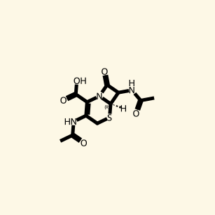 CC(=O)NC1=C(C(=O)O)N2C(=O)C(NC(C)=O)[C@H]2SC1